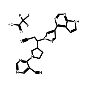 N#CCC([C@H]1CCN(c2ncncc2C#N)C1)n1cc(-c2ncnc3[nH]ccc23)cn1.O=C(O)C(F)(F)F